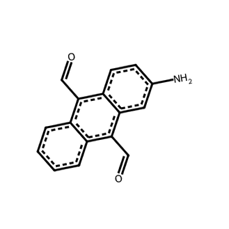 Nc1ccc2c(C=O)c3ccccc3c(C=O)c2c1